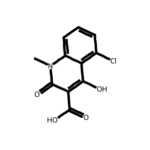 Cn1c(=O)c(C(=O)O)c(O)c2c(Cl)cccc21